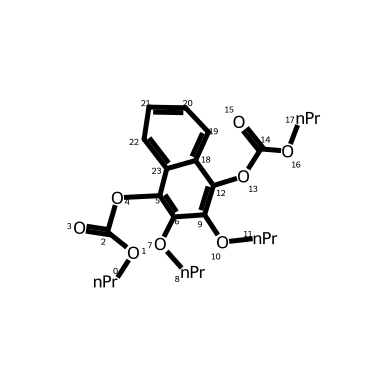 CCCOC(=O)Oc1c(OCCC)c(OCCC)c(OC(=O)OCCC)c2ccccc12